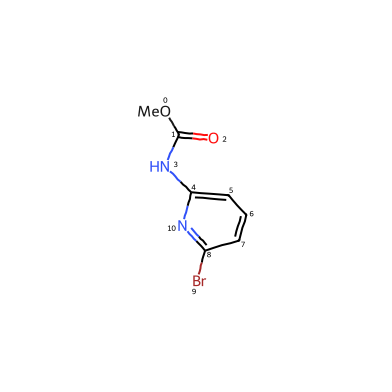 COC(=O)Nc1cccc(Br)n1